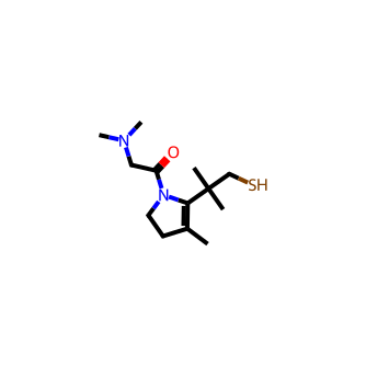 CC1=C(C(C)(C)CS)N(C(=O)CN(C)C)CC1